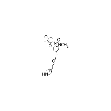 Cn1c(=O)n(C2CCC(=O)NC2=O)c2ccc(CCCOCCCN3CCNCC3)cc21